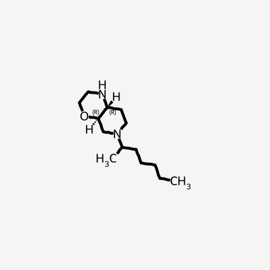 CCCCCC(C)N1CC[C@H]2NCCO[C@@H]2C1